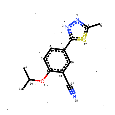 Cc1nnc(-c2ccc(OC(C)C)c(C#N)c2)s1